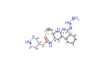 CC(C)(C)Sc1ccc(-c2ccccc2/C(N)=N/NN)cc1NC(=O)CC1CCNCC1